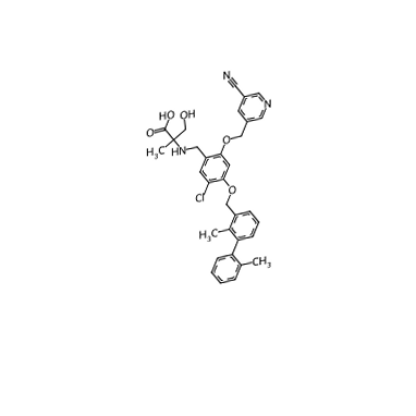 Cc1ccccc1-c1cccc(COc2cc(OCc3cncc(C#N)c3)c(CNC(C)(CO)C(=O)O)cc2Cl)c1C